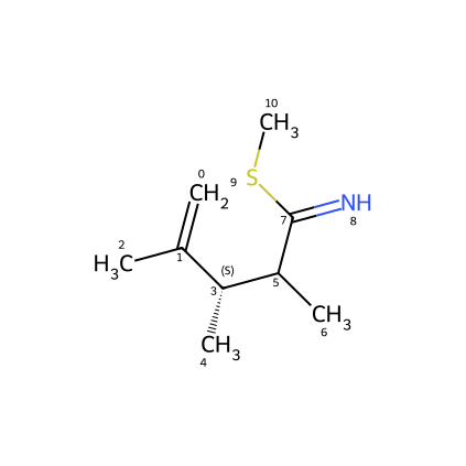 C=C(C)[C@@H](C)C(C)C(=N)SC